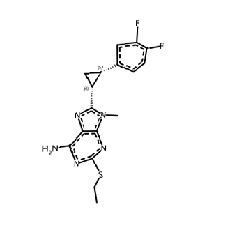 CCSc1nc(N)c2nc([C@@H]3C[C@@H]3c3ccc(F)c(F)c3)n(C)c2n1